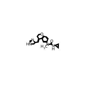 CN(C(=O)NC1CC1)c1ccc2c(c1)/C(=C/C1CNC=N1)CCO2